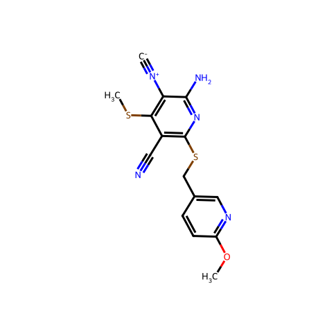 [C-]#[N+]c1c(N)nc(SCc2ccc(OC)nc2)c(C#N)c1SC